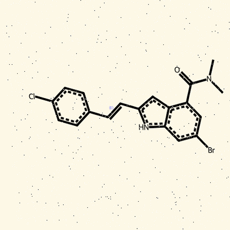 CN(C)C(=O)c1cc(Br)cc2[nH]c(/C=C/c3ccc(Cl)cc3)cc12